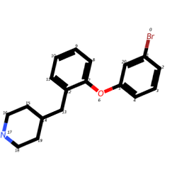 Brc1cccc(Oc2ccccc2CC2CCNCC2)c1